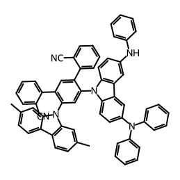 Cc1ccc2c3ccc(C)cc3n(-c3cc(-n4c5ccc(Nc6ccccc6)cc5c5cc(N(c6ccccc6)c6ccccc6)ccc54)c(-c4ccccc4C#N)cc3-c3ccccc3C#N)c2c1